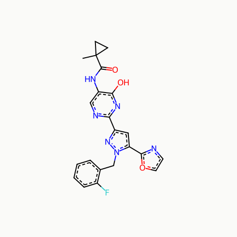 CC1(C(=O)Nc2cnc(-c3cc(-c4ncco4)n(Cc4ccccc4F)n3)nc2O)CC1